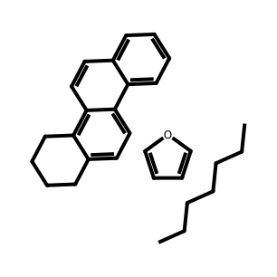 CCCCCCC.c1ccc2c(c1)ccc1c3c(ccc12)CCCC3.c1ccoc1